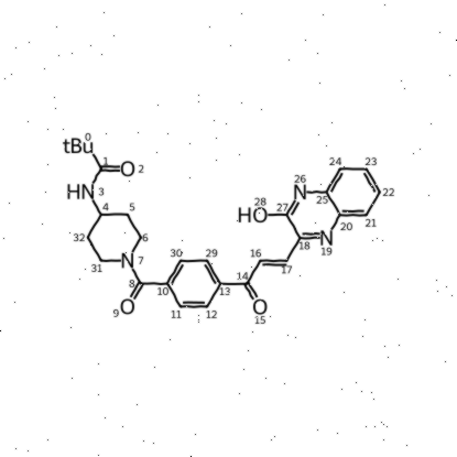 CC(C)(C)C(=O)NC1CCN(C(=O)c2ccc(C(=O)C=Cc3nc4ccccc4nc3O)cc2)CC1